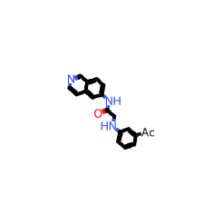 CC(=O)c1cccc(NCC(=O)Nc2ccc3cnccc3c2)c1